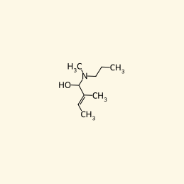 C/C=C(\C)C(O)N(C)CCC